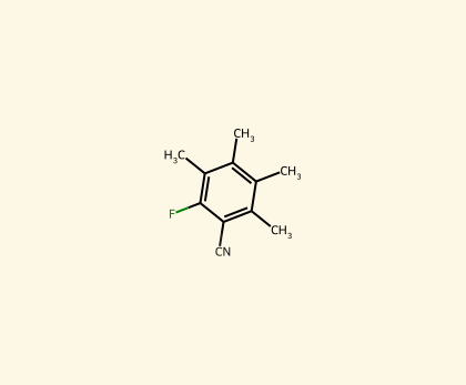 Cc1c(C)c(C)c(C#N)c(F)c1C